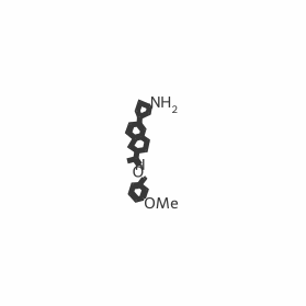 COc1cccc(CO/N=C(\C)C2CCc3cc(C4CCC(N)C4)ccc3C2)c1